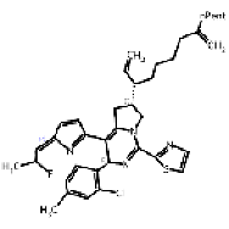 C=CC(CCCCC(=C)CCCCC)[C@H]1CC2=C(C3=N/C(=C\C(C)F)C=C3)[C@H](c3ccc(C)cc3Cl)N=C(c3nccs3)N2C1